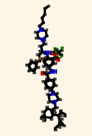 CCCCCCN1CCN(CCC(CSc2ccccc2)Nc2ccc(NC(=O)c3ccc(N4CCN(CC5=C(C(CC)C6CC6C)CC(C)(C)CC5)CC4)cc3)cc2S(=O)(=O)C(F)(F)F)CC1